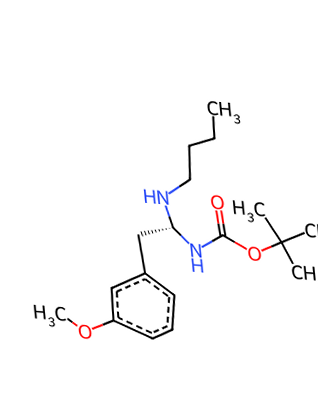 CCCCN[C@@H](Cc1cccc(OC)c1)NC(=O)OC(C)(C)C